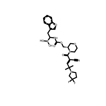 CC(C)(C=C(C#N)C(=O)N1CCOC[C@@H]1COC(=O)NC(Cc1coc2ccccc12)B(O)O)N1CCC(F)(F)C1